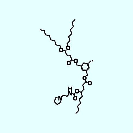 [CH2]c1cc(COC(=O)CCC(CCCCCC)OC(=O)NCCN2CCCC2)cc(COC(=O)CCC(OCCCCCCCC)OCCCCCCCC)c1